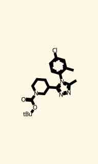 Cc1cc(Cl)ccc1-n1c(C)nnc1C1CCCN(C(=O)OC(C)(C)C)C1